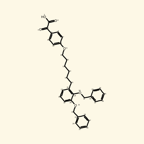 O=C(O)C(=O)c1ccc(OCCCCCCc2cccc(OCc3ccccc3)c2OCc2ccccc2)cc1